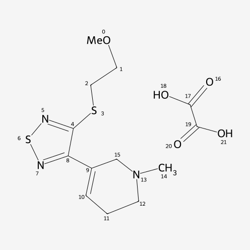 COCCSc1nsnc1C1=CCCN(C)C1.O=C(O)C(=O)O